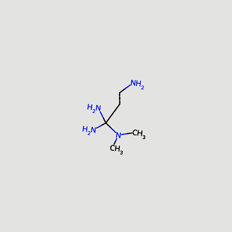 CN(C)C(N)(N)CCN